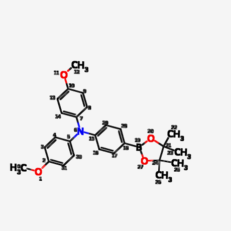 COc1ccc(N(c2ccc(OC)cc2)c2ccc(B3OC(C)(C)C(C)(C)O3)cc2)cc1